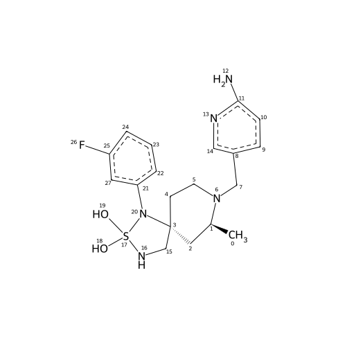 C[C@H]1C[C@]2(CCN1Cc1ccc(N)nc1)CNS(O)(O)N2c1cccc(F)c1